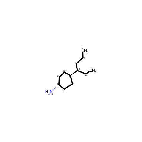 CCCC(CC)[C@H]1CC[C@H](N)CC1